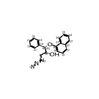 [N-]=[N+]=NC[C@@H](O)[C@@H](Oc1cccc2ccccc12)c1ccccc1